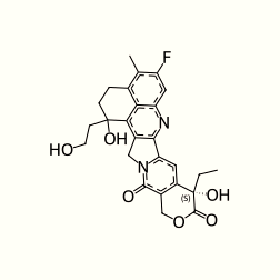 CC[C@@]1(O)C(=O)OCc2c1cc1n(c2=O)Cc2c-1nc1cc(F)c(C)c3c1c2C(O)(CCO)CC3